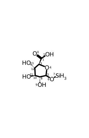 O=C(O)[C@H]1OC(O[SiH3])[C@H](O)[C@@H](O)[C@@H]1O